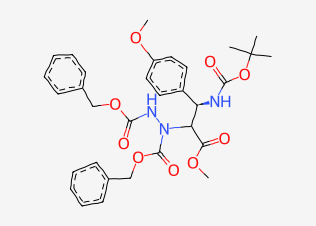 COC(=O)C([C@H](NC(=O)OC(C)(C)C)c1ccc(OC)cc1)N(NC(=O)OCc1ccccc1)C(=O)OCc1ccccc1